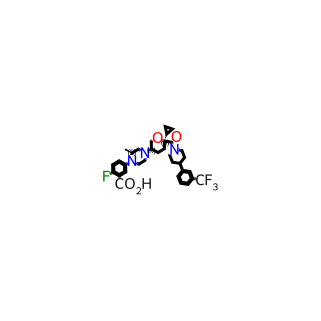 C[C@H]1CN([C@@H]2CC[C@@](C(=O)N3CCC(c4cccc(C(F)(F)F)c4)CC3)(C3CC3)OC2)CCN1c1ccc(F)c(C(=O)O)c1